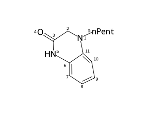 CCCCCN1CC(=O)Nc2ccccc21